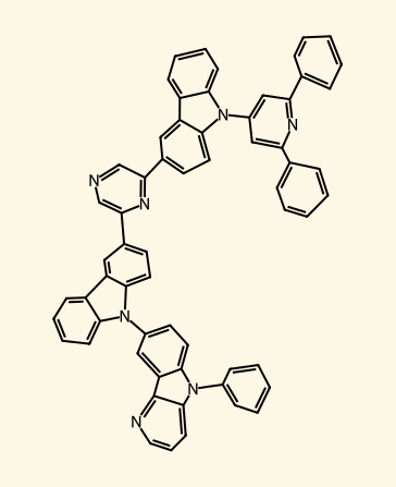 c1ccc(-c2cc(-n3c4ccccc4c4cc(-c5cncc(-c6ccc7c(c6)c6ccccc6n7-c6ccc7c(c6)c6ncccc6n7-c6ccccc6)n5)ccc43)cc(-c3ccccc3)n2)cc1